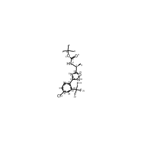 C[C@H](NC(=O)OC(C)(C)C)c1nc(-c2ccc(Cl)cc2C(F)(F)F)no1